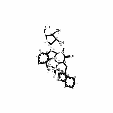 COC(=O)C(Cc1c[nH]c2ccccc12)N(N1CN([C@@H]2O[C@H](CO)C(O)C2O)c2ncnc(N)c21)P(=O)(O)O